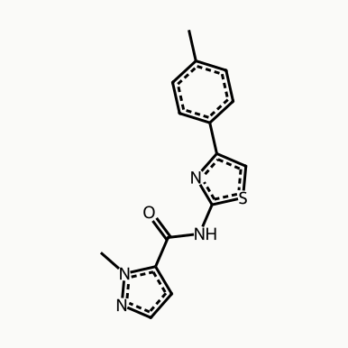 Cc1ccc(-c2csc(NC(=O)c3ccnn3C)n2)cc1